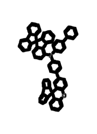 c1ccc(-c2ccc(N(c3ccc(-c4ccc5c(c4)C4(c6ccccc6O5)c5ccccc5-c5ccccc54)cc3)c3cccc4c3-c3ccccc3C43c4ccccc4-c4ccccc43)cc2)cc1